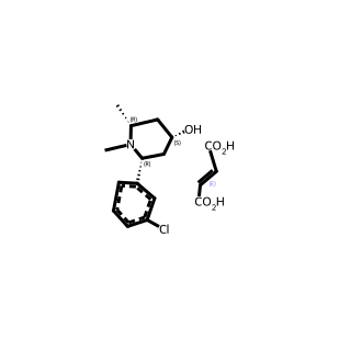 C[C@@H]1C[C@H](O)C[C@H](c2cccc(Cl)c2)N1C.O=C(O)/C=C/C(=O)O